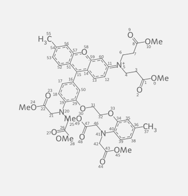 COC(=O)CC[N+](CCC(=O)OC)=c1ccc2c(-c3ccc(N(CC(=O)OC)CC(=O)OC)c(OCCOc4cc(C)ccc4N(CC(=O)OC)CC(=O)OC)c3)c3ccc(C)cc3oc-2c1